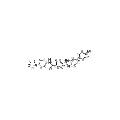 O=C(Nc1ccc(N2CCOCC2)cc1)c1ccc(-c2nc3ccc(-c4ccc(O)cc4)cc3[nH]2)cc1